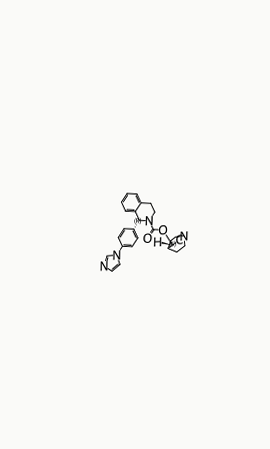 O=C(O[C@@H]1CN2CCC1CC2)N1CCc2ccccc2[C@H]1c1ccc(-n2ccnc2)cc1